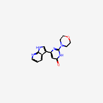 O=c1cc(-c2c[nH]c3ncccc23)nc(N2CCOCC2)[nH]1